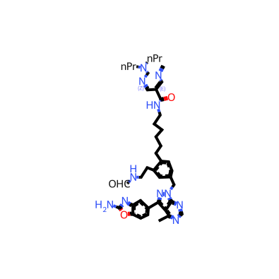 C=N/C=C(\C=N/CN(CCC)CCC)C(=O)NCCCCCCc1ccc(Cn2nc(-c3ccc4oc(N)nc4c3)c3c(C)ncnc32)cc1CCNC=O